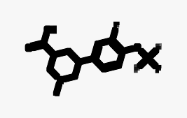 CN1CC(C(=O)O)CC(c2ccc(OC(F)(F)F)c(F)c2)C1